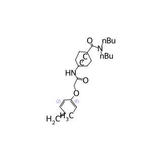 C=C/C=C\C(=C/C)OCC(=O)NC12CCC(C(=O)N(CCCC)CCCC)(CC1)CC2